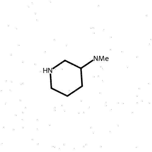 [CH2-][NH2+]C1CCCNC1